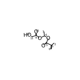 C=C(C)C(=O)OC(C)OC(=O)CO